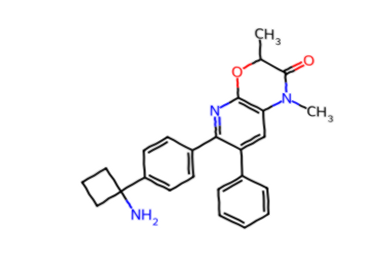 CC1Oc2nc(-c3ccc(C4(N)CCC4)cc3)c(-c3ccccc3)cc2N(C)C1=O